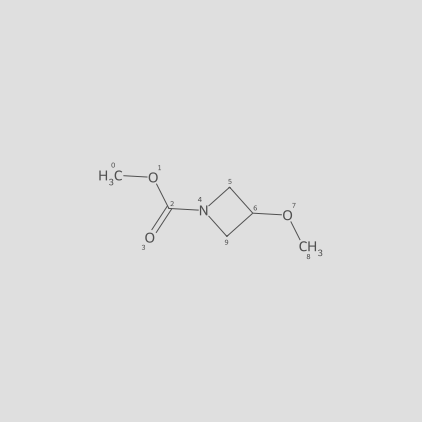 COC(=O)N1CC(OC)C1